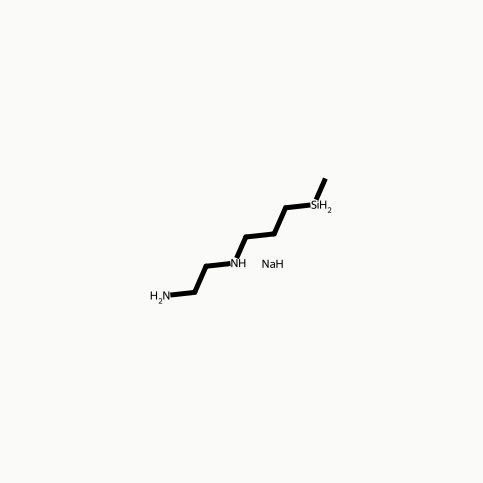 C[SiH2]CCCNCCN.[NaH]